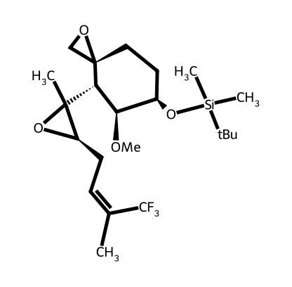 CO[C@H]1[C@H](C2(C)O[C@@H]2C/C=C(/C)C(F)(F)F)[C@]2(CC[C@H]1O[Si](C)(C)C(C)(C)C)CO2